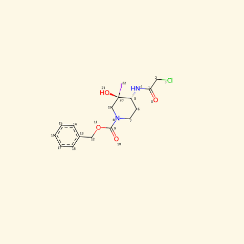 O=C(CCl)N[C@@H]1CCN(C(=O)OCc2ccccc2)C[C@]1(O)I